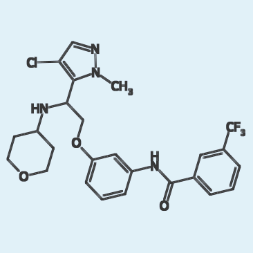 Cn1ncc(Cl)c1C(COc1cccc(NC(=O)c2cccc(C(F)(F)F)c2)c1)NC1CCOCC1